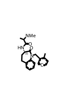 CNC(C)C(=O)N[C@H]1CCc2ccccc2N(Cc2ccccc2C)C1=O